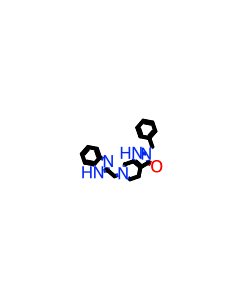 O=c1c2c([nH]n1Cc1ccccc1)CN(Cc1nc3ccccc3[nH]1)CC2